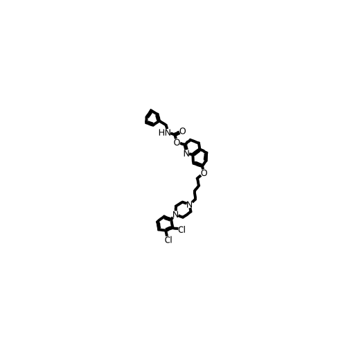 O=C(NCc1ccccc1)OC1=Nc2cc(OCCCCN3CCN(c4cccc(Cl)c4Cl)CC3)ccc2CC1